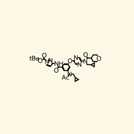 CC(=O)N(CC1CC1)c1cc(Oc2cnc(N(CC3CC3)C(=O)C3CCOCC3)cn2)cc(C(=O)Nc2ccn(C(=O)OC(C)(C)C)n2)c1